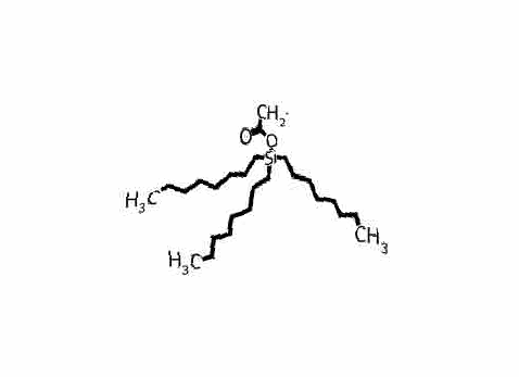 [CH2]C(=O)O[Si](CCCCCCCC)(CCCCCCCC)CCCCCCCC